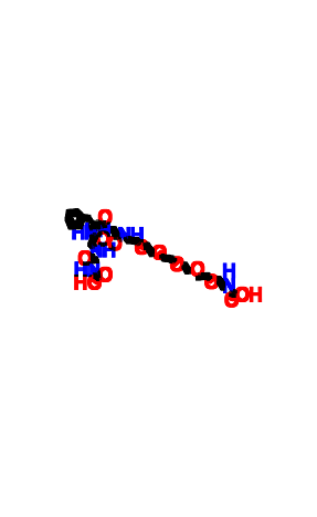 O=C(O)NCCOCCOCCOCCOCCOCCNC(=O)CNC(=O)[C@H](Cc1ccccc1)NC(=O)CNC(=O)CNC(=O)O